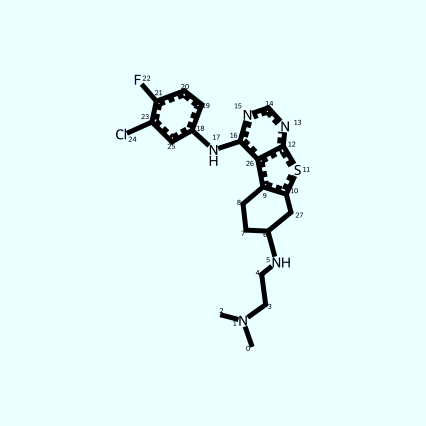 CN(C)CCNC1CCc2c(sc3ncnc(Nc4ccc(F)c(Cl)c4)c23)C1